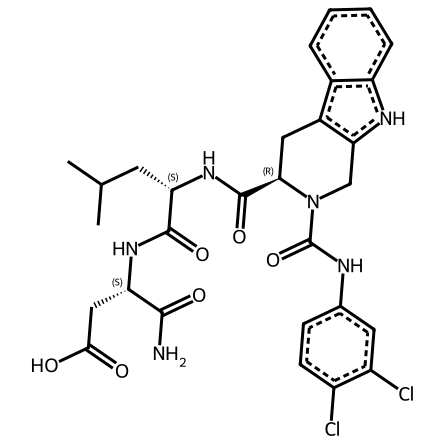 CC(C)C[C@H](NC(=O)[C@H]1Cc2c([nH]c3ccccc23)CN1C(=O)Nc1ccc(Cl)c(Cl)c1)C(=O)N[C@@H](CC(=O)O)C(N)=O